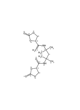 C=C(NC(C)(C)CC(C)(C)NC(=O)C1COC(=O)O1)C1COC(=O)O1